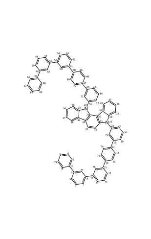 c1ccc(-c2cccc(-c3cccc(-c4ccc(-c5cccc(-n6c7ccccc7c7c6ccc6c8ccccc8n(-c8cccc(-c9ccc(-c%10cccc(-c%11cccc(-c%12ccccc%12)c%11)c%10)cc9)c8)c67)c5)cc4)c3)c2)cc1